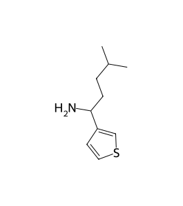 CC(C)CCC(N)c1ccsc1